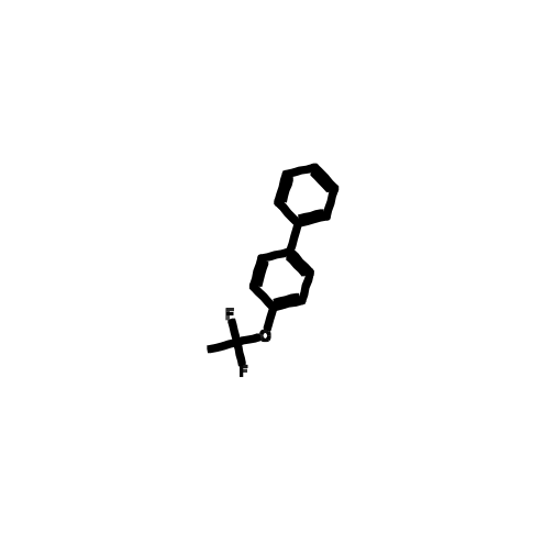 CC(F)(F)Oc1ccc(-c2ccccc2)cc1